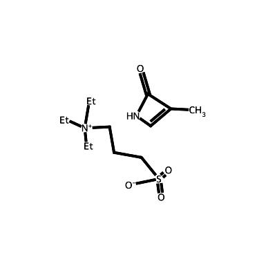 CC1=CNC1=O.CC[N+](CC)(CC)CCCS(=O)(=O)[O-]